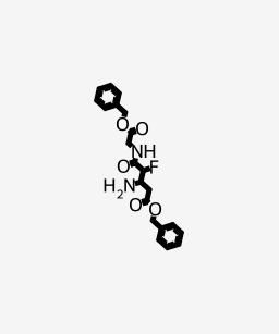 NC(CC(=O)OCc1ccccc1)C(F)C(=O)NCC(=O)OCc1ccccc1